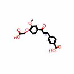 COc1cc(C(=O)/C=C/c2ccc(C(=O)O)cc2)ccc1OCC(=O)O